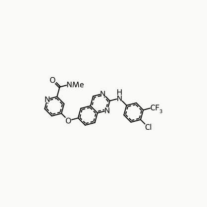 CNC(=O)c1cc(Oc2ccc3nc(Nc4ccc(Cl)c(C(F)(F)F)c4)ncc3c2)ccn1